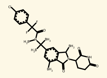 Bc1cc(C(B)(B)N(B)C(=O)C(F)(F)c2ccc(Cl)cc2)cc2c1C(=O)N(C1CCC(=O)NC1=O)C2B